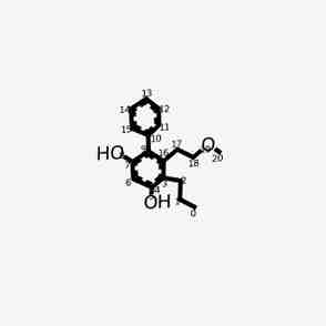 CCCc1c(O)cc(O)c(-c2ccccc2)c1CCOC